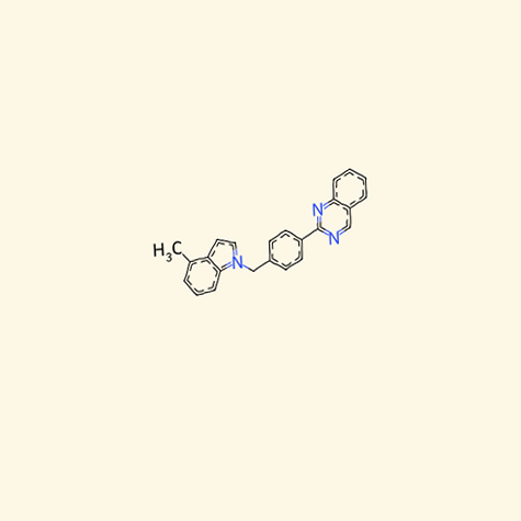 Cc1cccc2c1ccn2Cc1ccc(-c2ncc3ccccc3n2)cc1